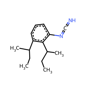 CCC(C)c1cccc(N=C=N)c1C(C)CC